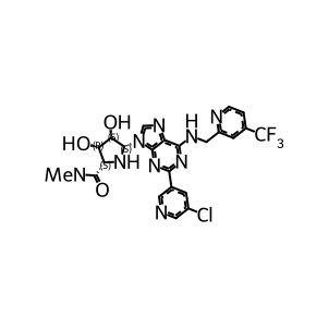 CNC(=O)[C@H]1N[C@@H](n2cnc3c(NCc4cc(C(F)(F)F)ccn4)nc(-c4cncc(Cl)c4)nc32)[C@H](O)[C@@H]1O